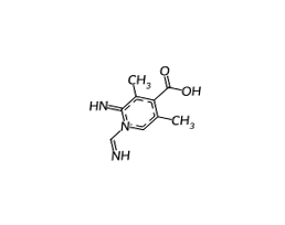 Cc1cn(C=N)c(=N)c(C)c1C(=O)O